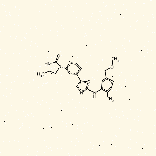 COCc1ccc(C)c(Nc2ncc(-c3ccnc(N4CC(C)NC4=O)c3)o2)c1